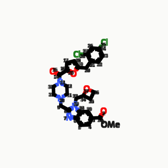 COC(=O)c1ccc2nc(CN3CCN(C(=O)c4ccc(Cc5ccc(Cl)cc5Cl)o4)CC3)n(CC3CCO3)c2c1